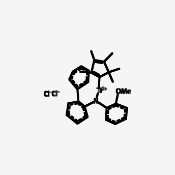 COc1ccccc1[N]([Ti+2][C]1=C(C)C(C)=C(C)C1(C)C)c1ccccc1-c1ccccc1.[Cl-].[Cl-]